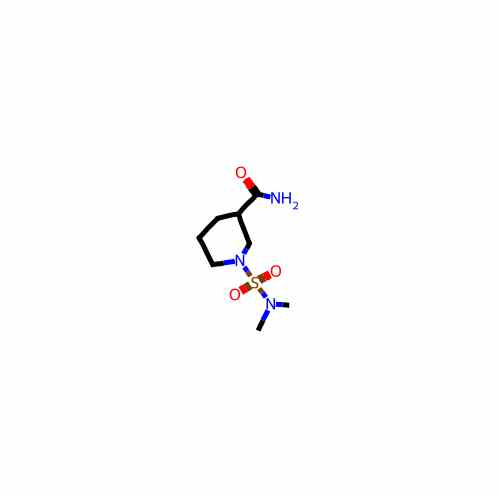 CN(C)S(=O)(=O)N1CCCC(C(N)=O)C1